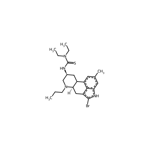 CCCN1C[C@@H](NC(=S)N(CC)CC)CC2c3cc(C)cc4[nH]c(Br)c(c34)C[C@H]21